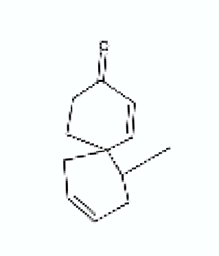 CC1CC=CCC12C=CC(=O)CC2